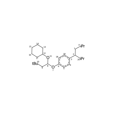 CC(C)CC(c1ccc(OC(CC(C)(C)C)OC2CCCCC2)cc1)C(C)C